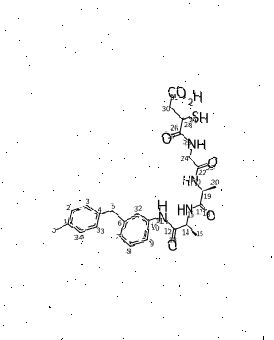 Cc1ccc(Cc2cccc(NC(=O)[C@H](C)NC(=O)[C@H](C)NC(=O)CNC(=O)C(S)CC(=O)O)c2)cc1